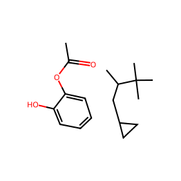 CC(=O)Oc1ccccc1O.CC(CC1CC1)C(C)(C)C